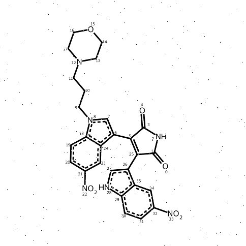 O=C1NC(=O)C(c2cn(CCCN3CCOCC3)c3ccc([N+](=O)[O-])cc23)=C1c1c[nH]c2ccc([N+](=O)[O-])cc12